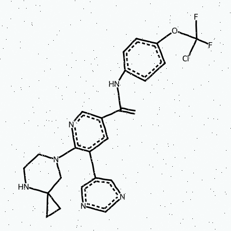 C=C(Nc1ccc(OC(F)(F)Cl)cc1)c1cnc(N2CCNC3(CC3)C2)c(-c2cncnc2)c1